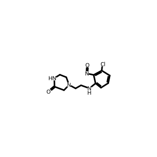 O=Nc1c(Cl)cccc1NCCN1CCNC(=O)C1